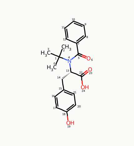 CC(C)(C)N(C(=O)c1ccccc1)[C@@H](Cc1ccc(O)cc1)C(=O)O